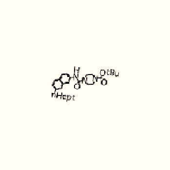 CCCCCCCc1ccc2ccc(NC(=O)N3CCN(C(=O)OC(C)(C)C)CC3)cc2c1